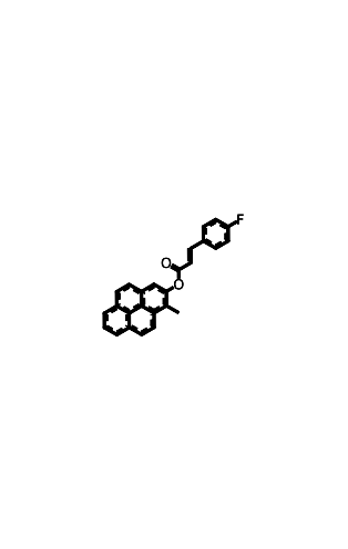 Cc1c(OC(=O)C=Cc2ccc(F)cc2)cc2ccc3cccc4ccc1c2c34